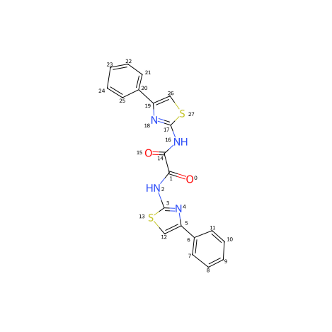 O=C(Nc1nc(-c2ccccc2)cs1)C(=O)Nc1nc(-c2ccccc2)cs1